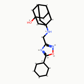 OC12CC3CC(C1)CC(NCc1noc(C4CCCCC4)n1)(C3)C2